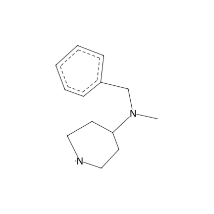 CN(Cc1ccccc1)C1CC[N]CC1